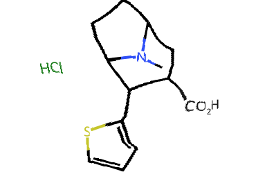 CN1C2CCC1C(c1cccs1)C(C(=O)O)C2.Cl